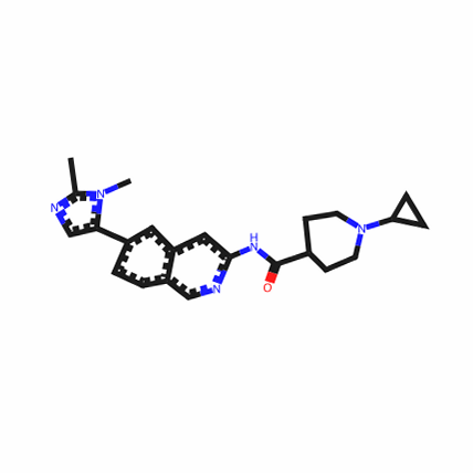 Cc1ncc(-c2ccc3cnc(NC(=O)C4CCN(C5CC5)CC4)cc3c2)n1C